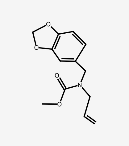 C=CCN(Cc1ccc2c(c1)OCO2)C(=O)OC